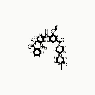 CCOc1cc(C(=O)N2CCC(N3CCN[C@@H](C)C3)CC2)ccc1Nc1cc2c(cn1)N(C)C(=O)c1ccccc1N2C